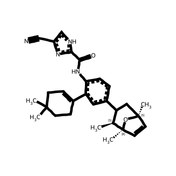 C[C@H]1C(c2ccc(NC(=O)c3nc(C#N)c[nH]3)c(C3=CCC(C)(C)CC3)c2)C[C@@]2(C)C=C[C@]1(C)O2